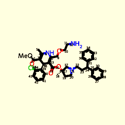 COC(=O)C1=C(C)NC(COCCN)=C(C(=O)O[C@]2(C)CCN(CCC(c3ccccc3)c3ccccc3)C2)[C@H]1c1ccccc1Cl